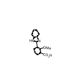 COc1c(C(=O)O)cccc1-c1nc2ccccc2[nH]1